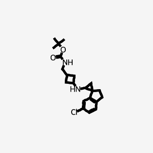 CC(C)(C)OC(=O)NCC1CC(NC2CC23CCc2ccc(Cl)cc23)C1